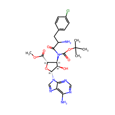 COC(=O)[C@H]1O[C@@H](n2cnc3c(N)ncnc32)[C@H](O)[C@@H]1N(C(=O)OC(C)(C)C)C(=O)C(N)Cc1ccc(Cl)cc1